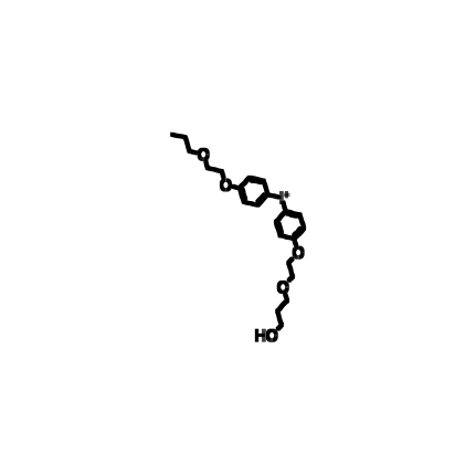 CCCOCCOc1ccc([I+]c2ccc(OCCOCCCO)cc2)cc1